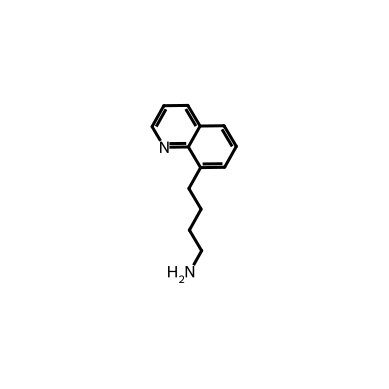 NCCCCc1cccc2cccnc12